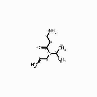 C=CCN(C(=O)CCN)C(C)C